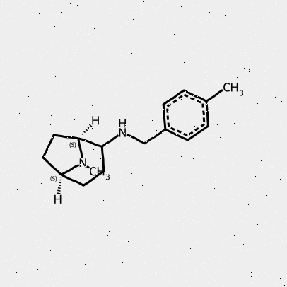 Cc1ccc(CNC2CC[C@H]3CC[C@@H]2N3C)cc1